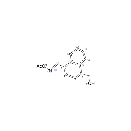 CC(=O)O/N=C/c1ccc(CO)c2ccccc12